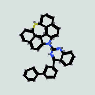 c1ccc(-c2cccc(-c3nc(-n4c5ccc6cccc7sc8cccc9ccc4c(c98)c5c67)nc4ccccc34)c2)cc1